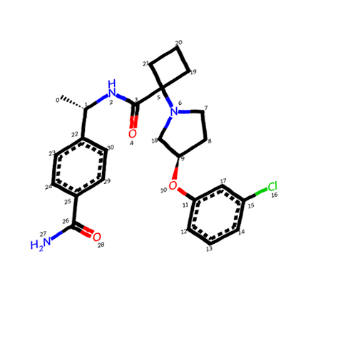 C[C@H](NC(=O)C1(N2CC[C@@H](Oc3cccc(Cl)c3)C2)CCC1)c1ccc(C(N)=O)cc1